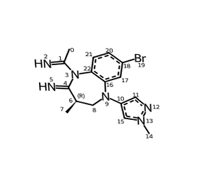 CC(=N)N1C(=N)[C@H](C)CN(c2cnn(C)c2)c2cc(Br)ccc21